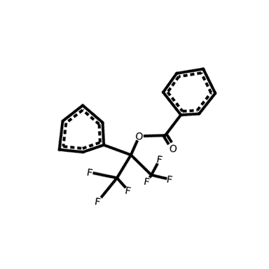 O=C(OC(c1ccccc1)(C(F)(F)F)C(F)(F)F)c1ccccc1